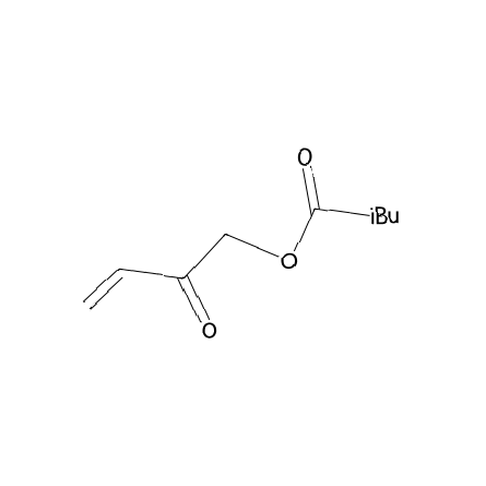 C=CC(=O)COC(=O)C(C)CC